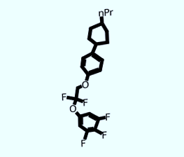 CCCC1CCC(c2ccc(OCC(F)(F)Oc3cc(F)c(F)c(F)c3)cc2)CC1